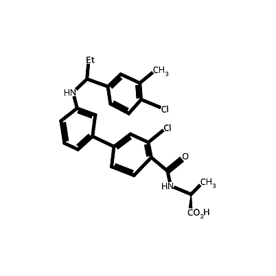 CCC(Nc1cccc(-c2ccc(C(=O)N[C@@H](C)C(=O)O)c(Cl)c2)c1)c1ccc(Cl)c(C)c1